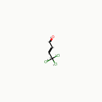 O=C/C=C/C(Cl)(Cl)Cl